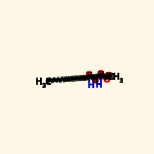 CCC=CCC=CCC=CCC=CCC=CCC=CCCC(=O)NCC(=O)CNC(=O)C=CC(=O)OC